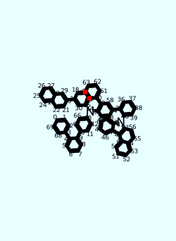 c1ccc(-c2ccccc2-c2ccc(N(c3cccc(-c4ccc5ccccc5c4)c3)c3ccc(-c4ccccc4-n4c5ccccc5c5c6ccccc6ccc54)cc3-c3ccccc3)cc2)cc1